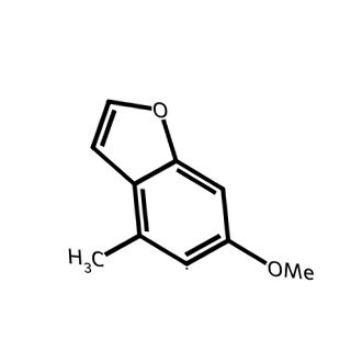 COc1[c]c(C)c2ccoc2c1